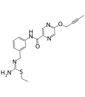 CC#CCOc1cnc(C(=O)Nc2cccc(C/N=C(/N)SCC)c2)cn1